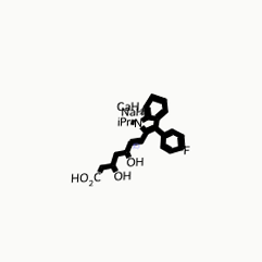 CC(C)n1c(/C=C/C(O)CC(O)CC(=O)O)c(-c2ccc(F)cc2)c2ccccc21.[CaH2].[NaH]